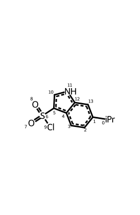 CC(C)c1ccc2c(S(=O)(=O)Cl)c[nH]c2c1